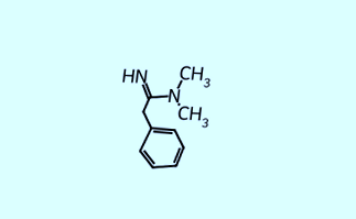 CN(C)C(=N)Cc1ccccc1